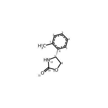 Cc1ccccc1[C@@H]1COC(=O)N1